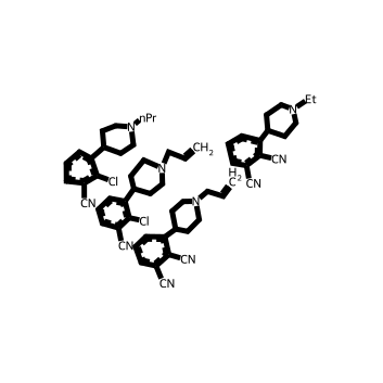 C=CCN1CCC(c2cccc(C#N)c2C#N)CC1.C=CCN1CCC(c2cccc(C#N)c2Cl)CC1.CCCN1CCC(c2cccc(C#N)c2Cl)CC1.CCN1CCC(c2cccc(C#N)c2C#N)CC1